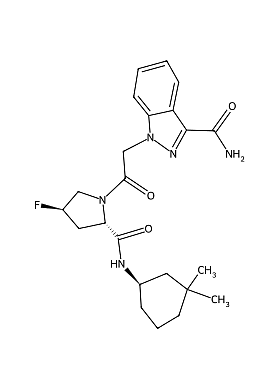 CC1(C)CCC[C@@H](NC(=O)[C@@H]2C[C@@H](F)CN2C(=O)Cn2nc(C(N)=O)c3ccccc32)C1